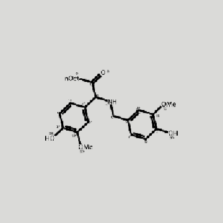 CCCCCCCCC(=O)C(NCc1ccc(O)c(OC)c1)c1ccc(O)c(OC)c1